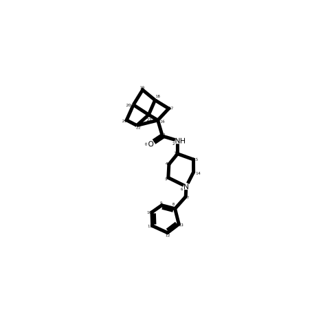 O=C(NC1CCN(Cc2ccccc2)CC1)C12CC3CC4CC1C432